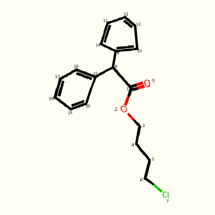 O=C(OCCCCCl)C(c1ccccc1)c1ccccc1